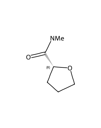 CNC(=O)[C@H]1CCCO1